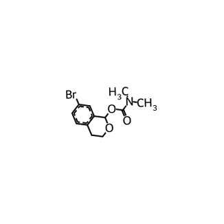 CN(C)C(=O)OC1OCCc2ccc(Br)cc21